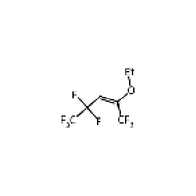 CCOC(=CC(F)(F)C(F)(F)F)C(F)(F)F